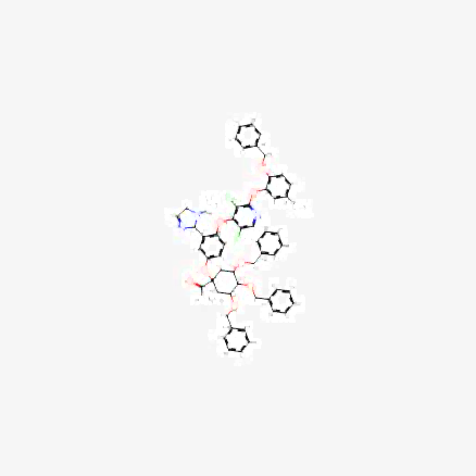 COC(=O)C1(Oc2ccc(Oc3c(F)cnc(Oc4cc(C#N)ccc4OCc4ccccc4)c3F)c(C3N=CCN3C)c2)CC(OCc2ccccc2)C(OCc2ccccc2)C(OCc2ccccc2)C1